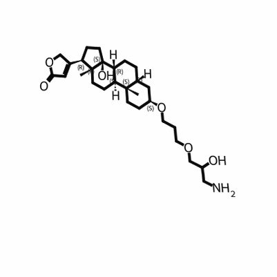 C[C@]12CC[C@H](OCCCOCC(O)CN)C[C@H]1CC[C@@H]1[C@@H]2CC[C@]2(C)[C@@H](C3=CC(=O)OC3)CC[C@]12O